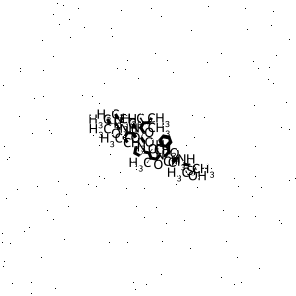 CC[C@H](C)[C@@H]([C@@H](CC(=O)N1CCC[C@H]1[C@H](OC)[C@@H](C)C(=O)N[C@H](C)[C@@H](OC(=O)NCC[Si](C)(C)O)c1ccccc1)OC)N(C)C(=O)[C@@H](NC(=O)[C@H](C(C)C)N(C)C)C(C)C